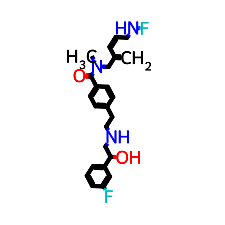 C=C(/C=C\CNF)CN(C)C(=O)c1ccc(CCNCC(O)c2cccc(F)c2)cc1